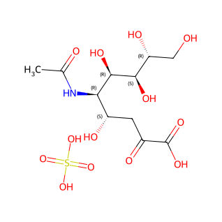 CC(=O)N[C@@H]([C@@H](O)[C@H](O)[C@H](O)CO)[C@@H](O)CC(=O)C(=O)O.O=S(=O)(O)O